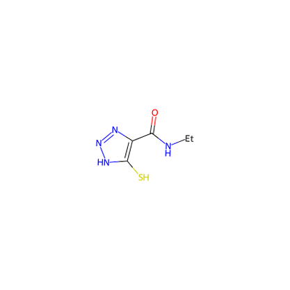 CCNC(=O)c1nn[nH]c1S